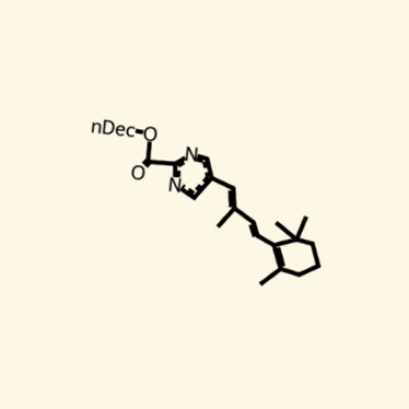 CCCCCCCCCCOC(=O)c1ncc(/C=C(\C)C=CC2=C(C)CCCC2(C)C)cn1